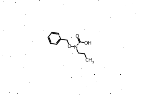 CCCN(OCc1ccccc1)C(=O)O